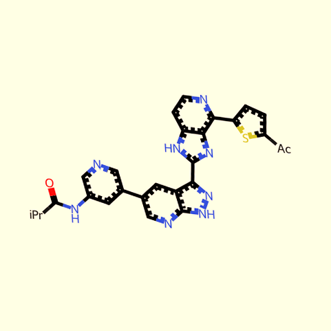 CC(=O)c1ccc(-c2nccc3[nH]c(-c4n[nH]c5ncc(-c6cncc(NC(=O)C(C)C)c6)cc45)nc23)s1